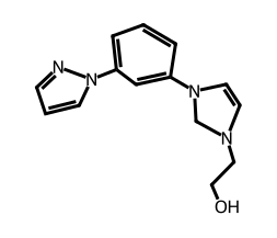 OCCN1C=CN(c2cccc(-n3cccn3)c2)C1